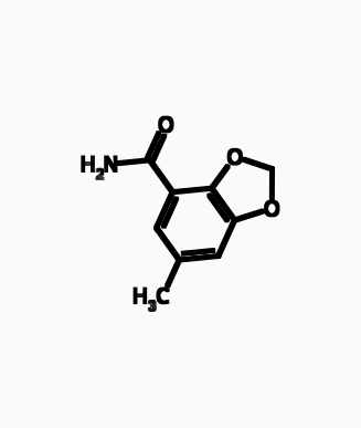 Cc1cc2c(c(C(N)=O)c1)OCO2